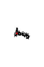 CCCc1nc2c(c(C(F)(F)F)n1)CCN(C(=O)C[C@@H](N)CN1C[C@H](C)CCC1=O)C2